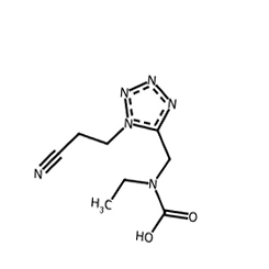 CCN(Cc1nnnn1CCC#N)C(=O)O